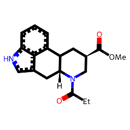 CCC(=O)N1C[C@H](C(=O)OC)CC2c3cccc4[nH]cc(c34)C[C@H]21